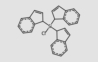 Cl[Si](C1C=Cc2ccccc21)(C1C=Cc2ccccc21)C1C=Cc2ccccc21